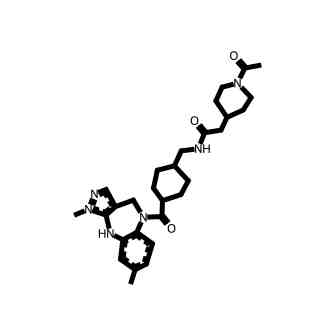 CC(=O)N1CCC(CC(=O)NCC2CCC(C(=O)N3Cc4cnn(C)c4Nc4cc(C)ccc43)CC2)CC1